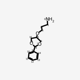 NCCCOC1COC(c2ccccc2)OC1